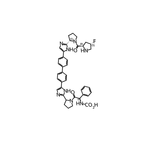 O=C(O)N[C@@H](C(=O)N1CCCC1c1ncc(-c2ccc(-c3ccc(-c4cnc([C@@H]5CCCN5C(=O)[C@H]5C[C@H](F)CN5)[nH]4)cc3)cc2)[nH]1)c1ccccc1